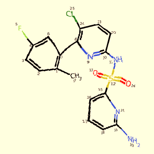 Cc1ccc(F)cc1-c1nc(NS(=O)(=O)c2cccc(N)n2)ccc1Cl